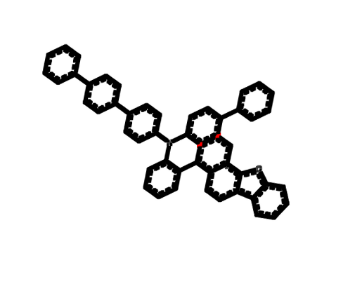 c1ccc(-c2ccc(-c3ccc(N(c4ccc(-c5ccccc5)cc4)c4ccccc4-c4cccc5c4ccc4c6ccccc6oc54)cc3)cc2)cc1